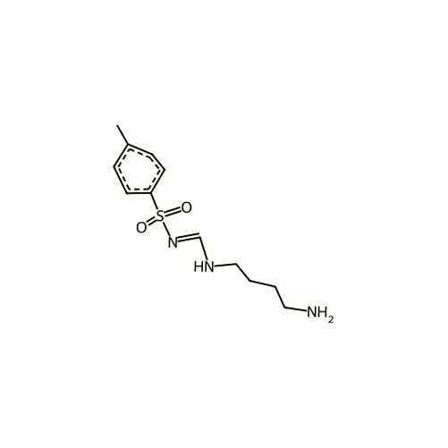 Cc1ccc(S(=O)(=O)N=CNCCCCN)cc1